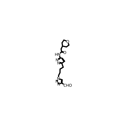 O=Cc1cn(CCCCc2ccc(NC(=O)CC3CCOCC3)nn2)nn1